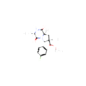 CCCCOC(=O)[C@@]1(C)C[C@H]2C(=O)N(C)[C@H](C)C(=O)N2[C@H]1c1ccc(F)cc1